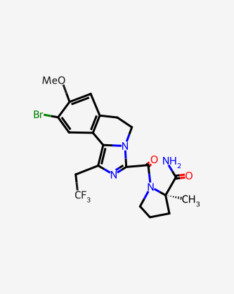 COc1cc2c(cc1Br)-c1c(CC(F)(F)F)nc(C(=O)N3CCC[C@]3(C)C(N)=O)n1CC2